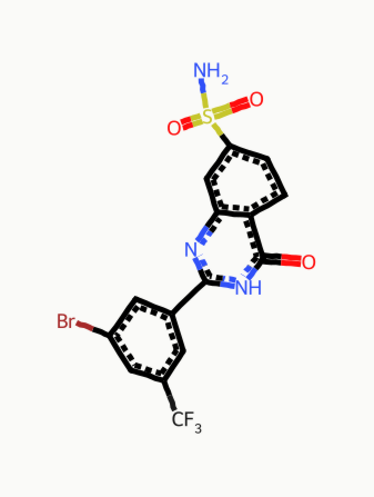 NS(=O)(=O)c1ccc2c(=O)[nH]c(-c3cc(Br)cc(C(F)(F)F)c3)nc2c1